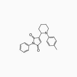 Cc1ccc(N2CCCCC2C2=CC(=O)N(c3ccccc3)C2=O)cc1